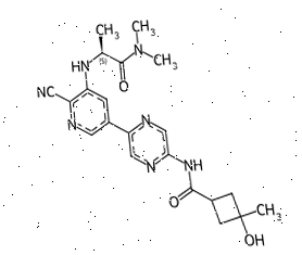 C[C@H](Nc1cc(-c2cnc(NC(=O)C3CC(C)(O)C3)cn2)cnc1C#N)C(=O)N(C)C